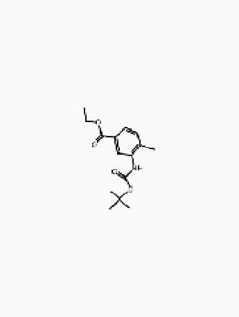 CCOC(=O)c1ccc(C)c(NC(=O)OC(C)(C)C)c1